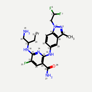 Cc1nn(CC(F)F)c2ccc(Nc3nc(NC(CN)CC(C)C)c(F)cc3C(N)=O)cc12